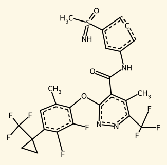 Cc1cc(C2(C(F)(F)F)CC2)c(F)c(F)c1Oc1nnc(C(F)(F)F)c(C)c1C(=O)Nc1cccc(S(C)(=N)=O)c1